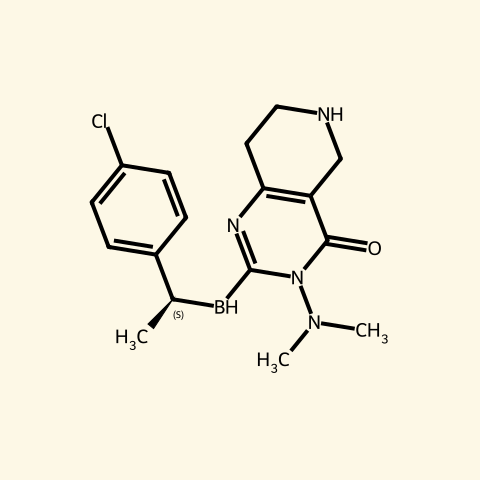 C[C@H](Bc1nc2c(c(=O)n1N(C)C)CNCC2)c1ccc(Cl)cc1